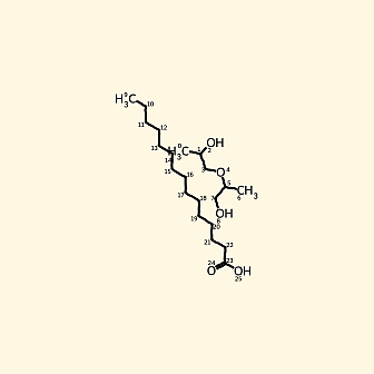 CC(O)COC(C)CO.CCCCCCCCCCCCCCC(=O)O